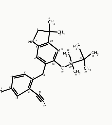 CC1(C)CNc2cc(Cc3ccc(Cl)cc3C#N)c(O[Si](C)(C)C(C)(C)C)nc21